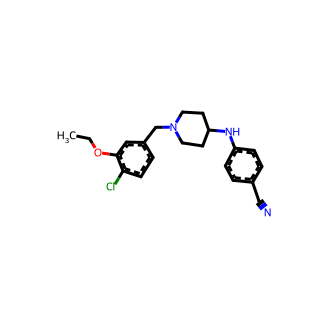 CCOc1cc(CN2CCC(Nc3ccc(C#N)cc3)CC2)ccc1Cl